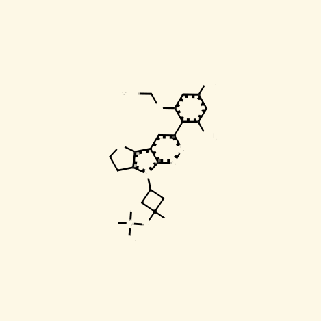 COCOc1cc(C(F)(F)F)cc(C)c1-c1cc2c3c(n(C4CC(C)(O[Si](C)(C)C(C)(C)C)C4)c2nn1)CCO3